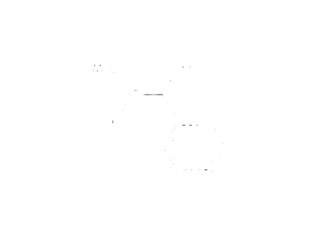 COC(C)=C(C(=O)O)c1ccccc1